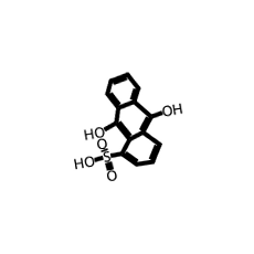 O=S(=O)(O)c1cccc2c(O)c3ccccc3c(O)c12